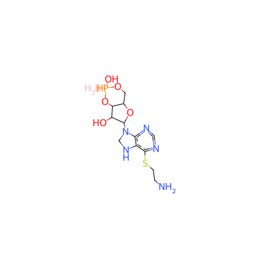 B[PH]1(O)OCC2OC(N3CNc4c(SCCN)ncnc43)C(O)C2O1